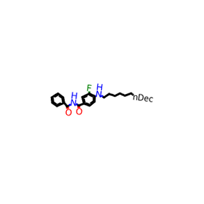 CCCCCCCCCCCCCCCCNc1ccc(C(=O)NC(=O)c2ccccc2)cc1F